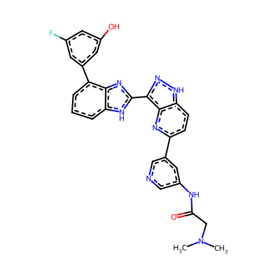 CN(C)CC(=O)Nc1cncc(-c2ccc3[nH]nc(-c4nc5c(-c6cc(O)cc(F)c6)cccc5[nH]4)c3n2)c1